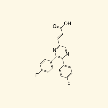 O=C(O)/C=C/c1cnc(-c2ccc(F)cc2)c(-c2ccc(F)cc2)n1